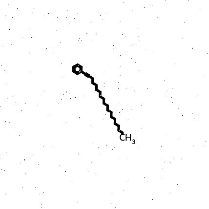 CCCCCCCCCCCCCCCCCCC#Cc1ccccc1